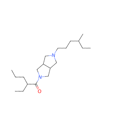 CCCC(CC)C(=O)N1CC2CN(CCCC(C)CC)CC2C1